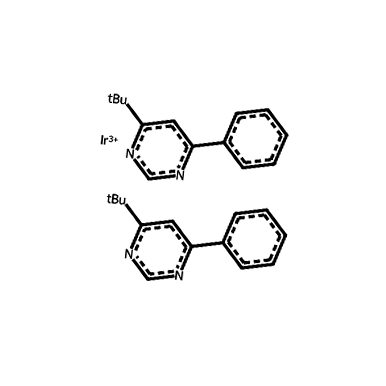 CC(C)(C)c1cc(-c2ccccc2)ncn1.CC(C)(C)c1cc(-c2ccccc2)ncn1.[Ir+3]